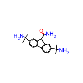 CC(C)(N)c1ccc2c(c1)C(C(N)=O)c1cc(C(C)(C)N)ccc1-2